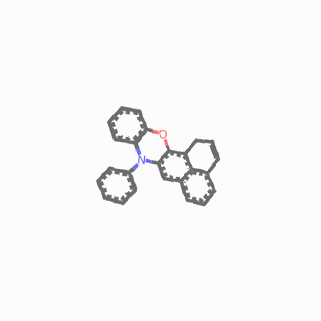 C1=Cc2cccc3cc4c(c(c23)C1)Oc1ccccc1N4c1ccccc1